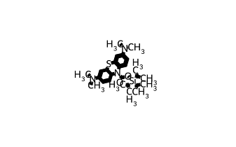 CC(C)[Si](OC(=O)N1c2ccc(N(C)C)cc2SC2C=C(N(C)C)C=CC21)(C(C)C)C(C)C